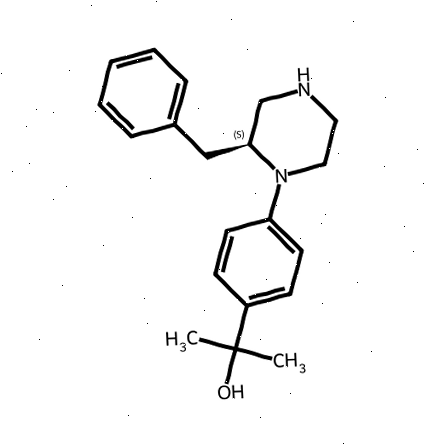 CC(C)(O)c1ccc(N2CCNC[C@@H]2Cc2ccccc2)cc1